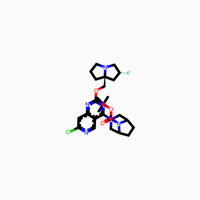 CC(C)(C)OC(=O)N1C2CCC1CN(c1nc(OC[C@@]34CCCN3C[C@H](F)C4)nc3cc(Cl)ncc13)C2